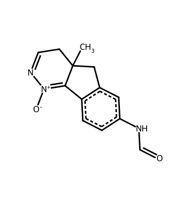 CC12CC=N[N+]([O-])=C1c1ccc(NC=O)cc1C2